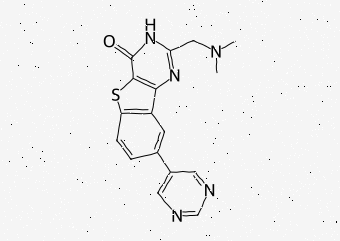 CN(C)Cc1nc2c(sc3ccc(-c4cncnc4)cc32)c(=O)[nH]1